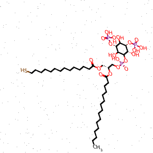 CCCCCCCCCCCCCCCC(=O)O[C@H](COC(=O)CCCCCCCCCCCCCS)COP(=O)(O)OC1C(O)[C@H](OP(=O)(O)O)C(O)[C@H](OP(=O)(O)O)[C@@H]1O